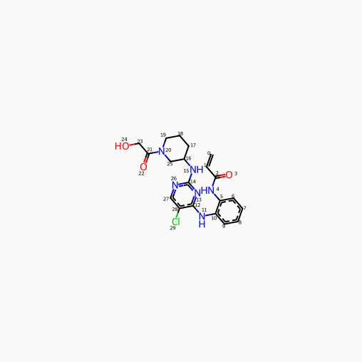 C=CC(=O)Nc1ccccc1Nc1nc(NC2CCCN(C(=O)CO)C2)ncc1Cl